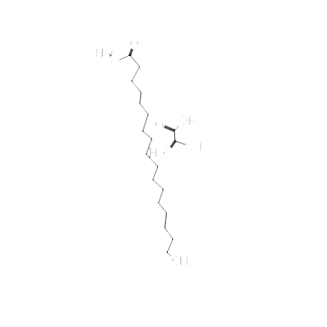 C=C(C)C(=O)O.CCCCCCCCCCCCCCCCCC(=O)OO